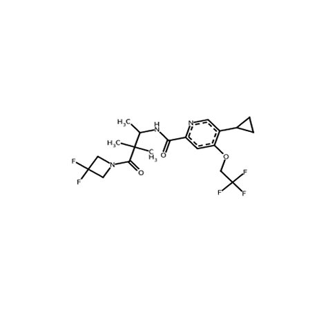 CC(NC(=O)c1cc(OCC(F)(F)F)c(C2CC2)cn1)C(C)(C)C(=O)N1CC(F)(F)C1